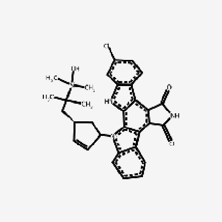 CC(C)(C[C@@H]1C=CC(n2c3ccccc3c3c4c(c5c6ccc(Cl)cc6[nH]c5c32)C(=O)NC4=O)C1)[Si](C)(C)O